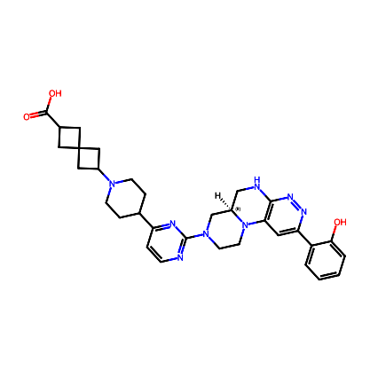 O=C(O)C1CC2(C1)CC(N1CCC(c3ccnc(N4CCN5c6cc(-c7ccccc7O)nnc6NC[C@@H]5C4)n3)CC1)C2